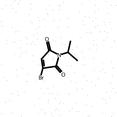 CC(C)N1C(=O)C=C(Br)C1=O